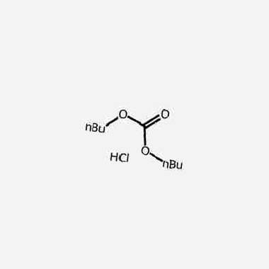 CCCCOC(=O)OCCCC.Cl